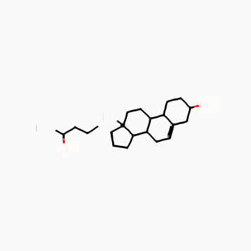 CC(O)CCC[C@H]1CCC2C3CC=C4CC(O)CCC4C3CCC21C